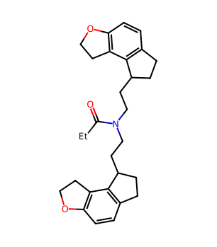 CCC(=O)N(CCC1CCc2ccc3c(c21)CCO3)CCC1CCc2ccc3c(c21)CCO3